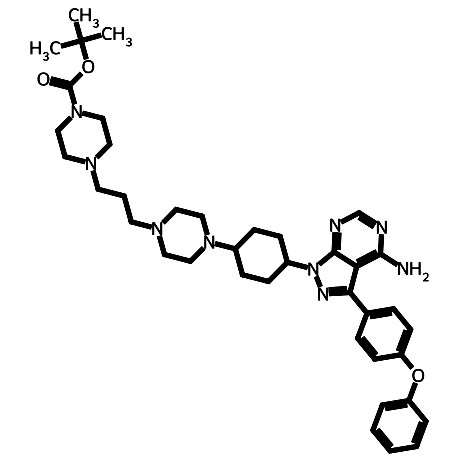 CC(C)(C)OC(=O)N1CCN(CCCN2CCN(C3CCC(n4nc(-c5ccc(Oc6ccccc6)cc5)c5c(N)ncnc54)CC3)CC2)CC1